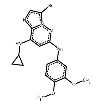 COc1ccc(Nc2cc(NC3CC3)c3ncc(Br)n3n2)cc1OC